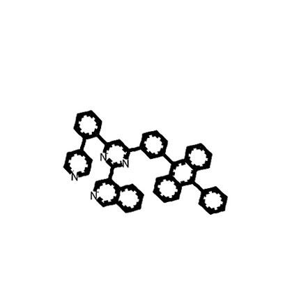 c1ccc(-c2c3ccccc3c(-c3cccc(-c4cc(-c5ccccc5-c5ccncc5)nc(-c5cncc6ccccc56)n4)c3)c3ccccc23)cc1